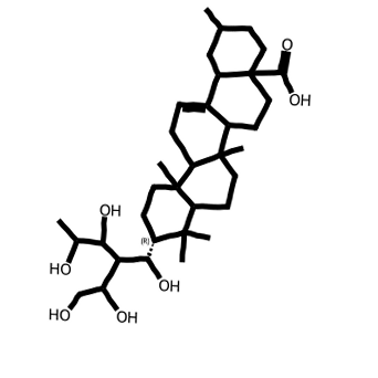 CC1CCC2(C(=O)O)CCC3C(=CCC4C3(C)CCC3C4(C)CC[C@@H](C(O)C(C(O)CO)C(O)C(C)O)C3(C)C)C2C1